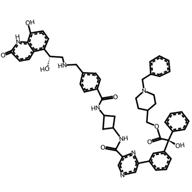 O=C(NC1CC(NC(=O)c2cncc(-c3cccc([C@](O)(C(=O)OCC4CCN(Cc5ccccc5)CC4)c4ccccc4)c3)n2)C1)c1ccc(CNC[C@H](O)c2ccc(O)c3[nH]c(=O)ccc23)cc1